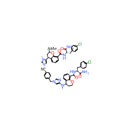 CN(c1cn(Cc2ccc(C#N)cc2)cn1)C1CCOc2c(C(=O)N[C@@H](Cc3ccc(Cl)cc3)C(N)=O)cccc21.CNC1CC(c2cncn2C)c2cccc(C(=O)N[C@@H](Cc3ccc(Cl)cc3)C(N)=O)c2O1